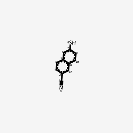 N#Cc1ccc2cc(S)ccc2c1